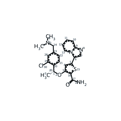 C[C@@H](Oc1cc(-c2cnc3ccccn23)sc1C(N)=O)c1ccc(CN(C)C)cc1Cl